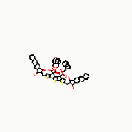 O=C1C(=Cc2cc3c(s2)-c2sc4c(c2C3(C(=O)OCc2ccccc2)C(=O)OCc2ccccc2)C(C(=O)OCc2ccccc2)(C(=O)OCc2ccccc2)c2cc(C=C3C(=O)c5cc6cc7ccccc7cc6cc5C3=O)sc2-4)C(=O)c2cc3cc4ccccc4cc3cc21